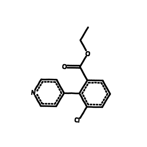 CCOC(=O)c1cccc(Cl)c1-c1ccncc1